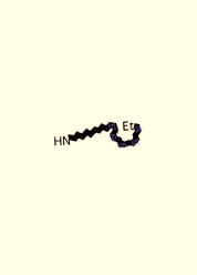 CC/C=C\C/C=C\C/C=C\C/C=C\C/C=C\CCCCCCCCCC=N